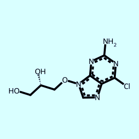 Nc1nc(Cl)c2ncn(OC[C@@H](O)CO)c2n1